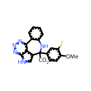 CCOC(=O)C1(c2ccc(OC)c(F)c2)Nc2ccccc2-c2nnnc3[nH]cc1c23